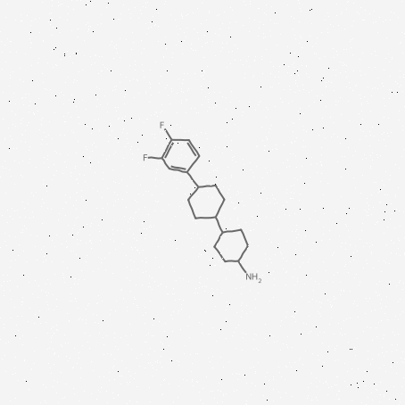 NC1CCC(C2CCC(c3ccc(F)c(F)c3)CC2)CC1